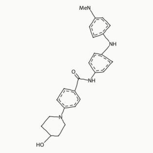 CNc1ccc(Nc2ccc(NC(=O)c3ccc(N4CCC(O)CC4)cc3)cc2)cc1